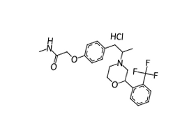 CNC(=O)COc1ccc(CC(C)N2CCOC(c3ccccc3C(F)(F)F)C2)cc1.Cl